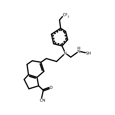 N#CC(=O)C1CCC2=C1C=C(CCN(CNS)c1ccc(CC(F)(F)F)cc1)CC2